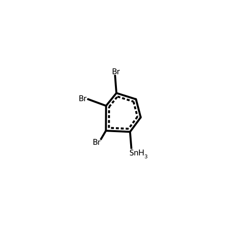 Brc1cc[c]([SnH3])c(Br)c1Br